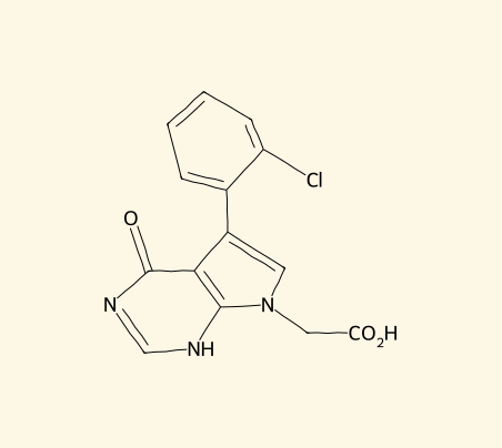 O=C(O)Cn1cc(-c2ccccc2Cl)c2c(=O)nc[nH]c21